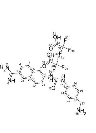 N=C(N)c1ccc2cc(NC(=O)Nc3ccc(CN)cc3)ccc2c1.O=C(O)C(F)(F)F.O=C(O)C(F)(F)F